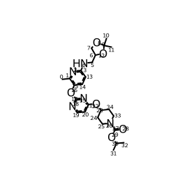 Cc1nc(NCC2COC(C)(C)O2)ccc1Oc1nccc(OC2CCN(C(=O)OC(C)C)CC2)n1